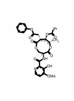 COc1ccnc(C(=O)N[C@H]2COC(=O)[C@H](CC(=O)Oc3ccccc3)[C@@H](OC(=O)C(C)C)[C@H](C)OC2=O)c1O